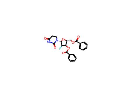 O=C1CCN([C@@H]2O[C@H](COC(=O)c3ccccc3)C(OC(=O)c3ccccc3)C2F)C(=O)N1